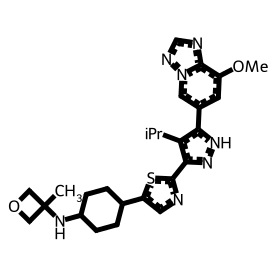 COc1cc(-c2[nH]nc(-c3ncc(C4CCC(NC5(C)COC5)CC4)s3)c2C(C)C)cn2ncnc12